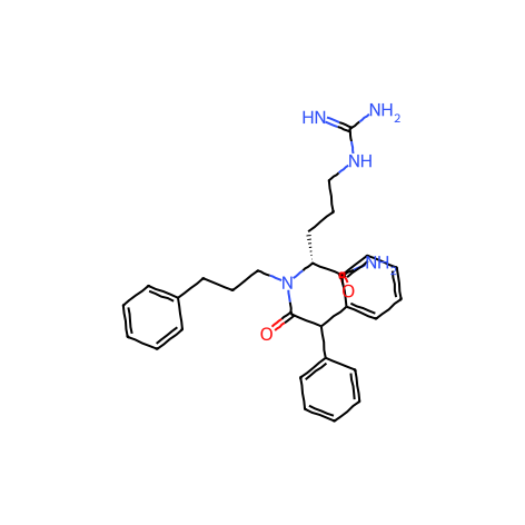 N=C(N)NCCC[C@H](C(N)=O)N(CCCc1ccccc1)C(=O)C(c1ccccc1)c1ccccc1